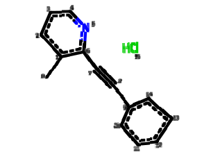 Cc1cccnc1C#Cc1ccccc1.Cl